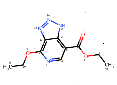 CCOC(=O)c1cnc(OCC)c2nn[nH]c12